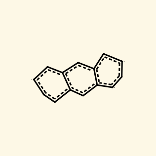 [c]1c[c]c2cc3cc[c]cc3cc2c1